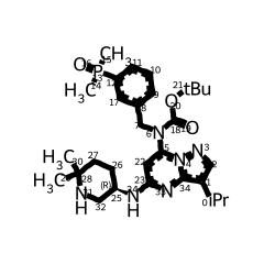 CC(C)c1cnn2c(N(Cc3cccc(P(C)(C)=O)c3)C(=O)OC(C)(C)C)cc(N[C@@H]3CCC(C)(C)NC3)nc12